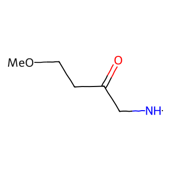 COCCC(=O)C[NH]